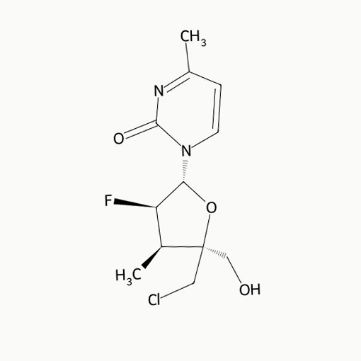 Cc1ccn([C@@H]2O[C@@](CO)(CCl)[C@@H](C)[C@H]2F)c(=O)n1